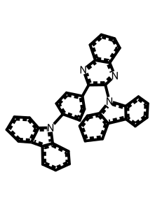 c1ccc2nc(-n3c4ccccc4c4ccccc43)c(-c3ccc(-n4c5ccccc5c5ccccc54)cc3)nc2c1